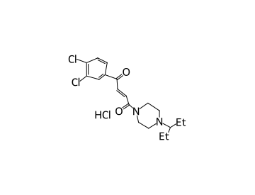 CCC(CC)N1CCN(C(=O)/C=C/C(=O)c2ccc(Cl)c(Cl)c2)CC1.Cl